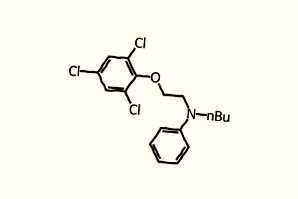 CCCCN(CCOc1c(Cl)cc(Cl)cc1Cl)c1ccccc1